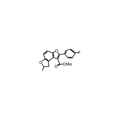 COC(=O)c1c(-c2ccc(F)cc2)oc2ccc3c(c12)CC(C)O3